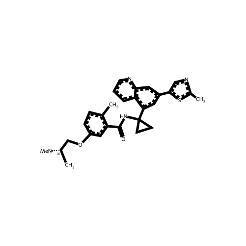 CN[C@@H](C)COc1ccc(C)c(C(=O)NC2(c3cc(-c4cnc(C)s4)cc4ncccc34)CC2)c1